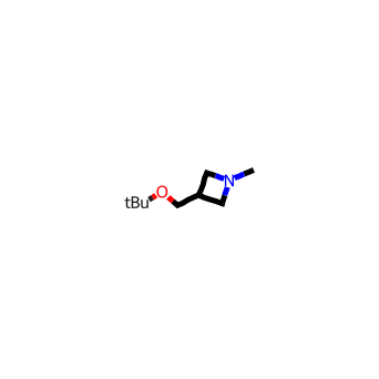 CN1CC(COC(C)(C)C)C1